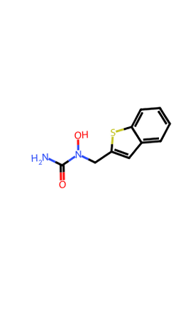 NC(=O)N(O)Cc1cc2ccccc2s1